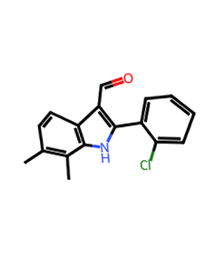 Cc1ccc2c(C=O)c(-c3ccccc3Cl)[nH]c2c1C